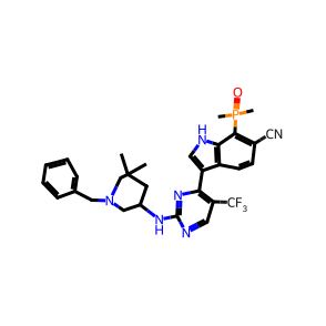 CC1(C)CC(Nc2ncc(C(F)(F)F)c(-c3c[nH]c4c(P(C)(C)=O)c(C#N)ccc34)n2)CN(Cc2ccccc2)C1